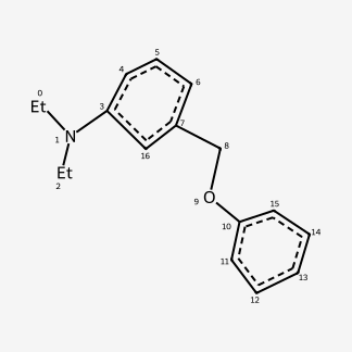 CCN(CC)c1cccc(COc2ccccc2)c1